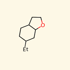 CCC1CCC2CCOC2C1